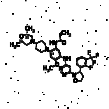 C=CC(=O)Nc1cc(Nc2cc(N3OCCC3c3cccc(C(F)(F)F)c3F)ncn2)c(OC)cc1N1CCC(N2C[C@@H](C)O[C@@H](C)C2)CC1